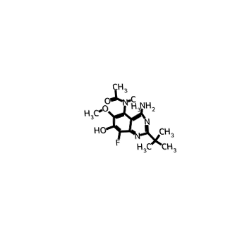 COc1c(O)c(F)c2nc(C(C)(C)C)nc(N)c2c1N(C)C(C)=O